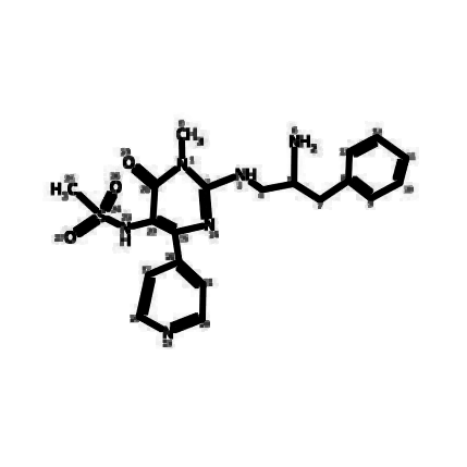 Cn1c(NCC(N)Cc2ccccc2)nc(-c2ccncc2)c(NS(C)(=O)=O)c1=O